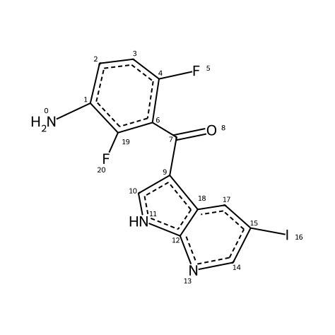 Nc1ccc(F)c(C(=O)c2c[nH]c3ncc(I)cc23)c1F